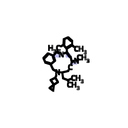 C\N=C1/C=C(c2c(C)cccc2C)\N=C\c2cccc(c2)CN(C2CC3(CC3)C2)C(CC(C)C)CC1